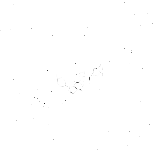 O=C([C@H]1CC[C@@H]1c1nc2c(cnn2C2CCC(F)(F)CC2)c(=O)[nH]1)N1CC(F)(F)C(F)(F)C1